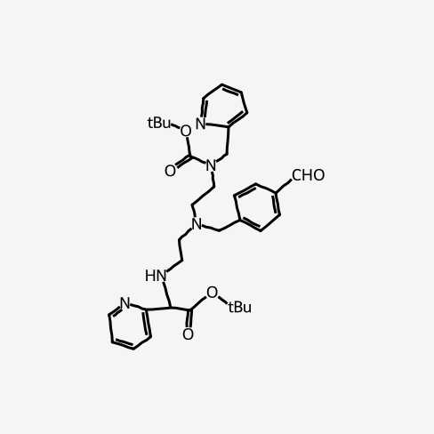 CC(C)(C)OC(=O)C(NCCN(CCN(Cc1ccccn1)C(=O)OC(C)(C)C)Cc1ccc(C=O)cc1)c1ccccn1